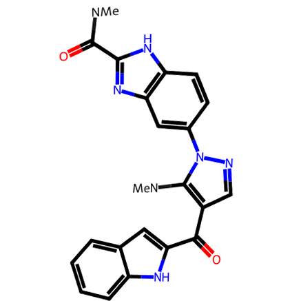 CNC(=O)c1nc2cc(-n3ncc(C(=O)c4cc5ccccc5[nH]4)c3NC)ccc2[nH]1